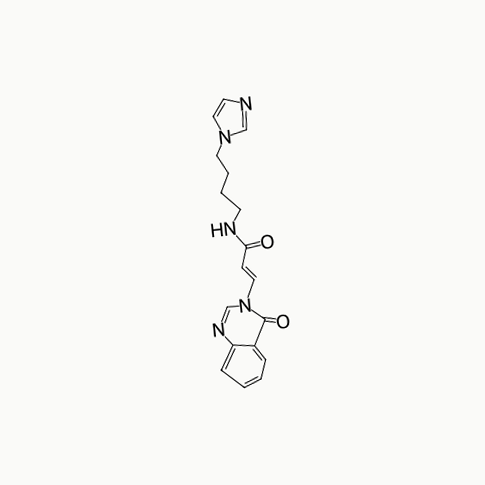 O=C(/C=C/n1cnc2ccccc2c1=O)NCCCCn1ccnc1